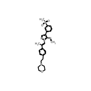 C=Nc1c(-c2cccc(S(C)(=O)=O)c2)cnn1/C=C(\C)c1ccc(CCN2CCOCC2)cc1